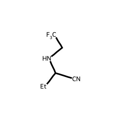 CCC(C#N)NCC(F)(F)F